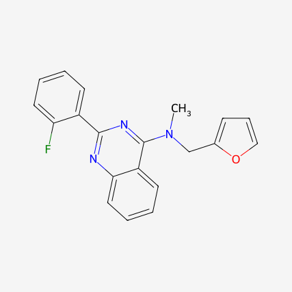 CN(Cc1ccco1)c1nc(-c2ccccc2F)nc2ccccc12